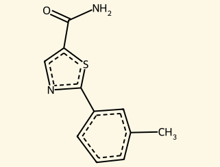 Cc1cccc(-c2ncc(C(N)=O)s2)c1